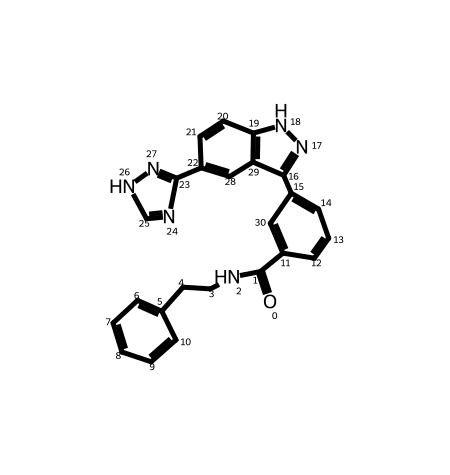 O=C(NCCc1ccccc1)c1cccc(-c2n[nH]c3ccc(-c4nc[nH]n4)cc23)c1